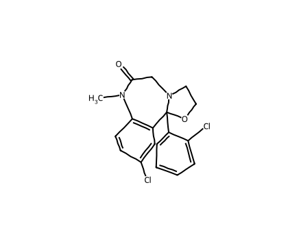 CN1C(=O)CN2CCOC2(c2ccccc2Cl)c2cc(Cl)ccc21